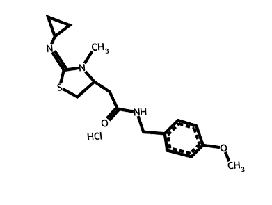 COc1ccc(CNC(=O)CC2CSC(=NC3CC3)N2C)cc1.Cl